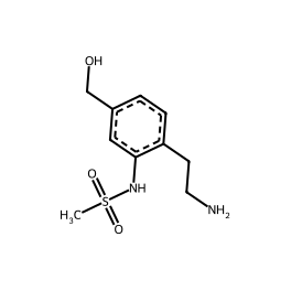 CS(=O)(=O)Nc1cc(CO)ccc1CCN